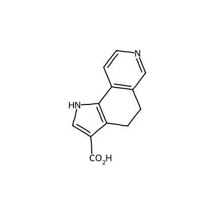 O=C(O)c1c[nH]c2c1CCc1cnccc1-2